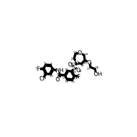 O=C(Nc1ccc(F)c(Cl)c1)c1ccc(F)c(S(=O)(=O)N2CCOCC(OCCO)C2)c1